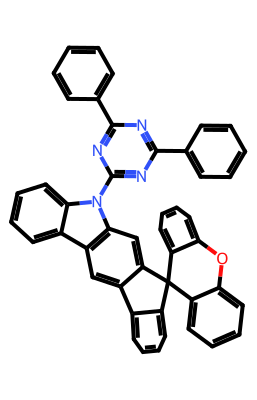 c1ccc(-c2nc(-c3ccccc3)nc(-n3c4ccccc4c4cc5c(cc43)C3(c4ccccc4Oc4ccccc43)c3ccccc3-5)n2)cc1